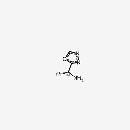 CC(C)[C@H](N)c1nnco1